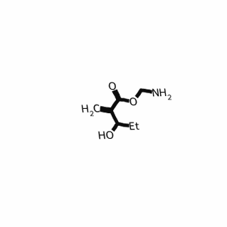 C=C(C(=O)OCN)C(O)CC